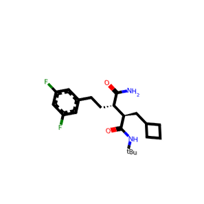 CC(C)(C)NC(=O)[C@H](CC1CCC1)[C@H](CCc1cc(F)cc(F)c1)C(N)=O